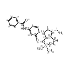 [2H]C[C@H]1S[C@@H](n2ccc(NC(=O)c3ccccc3)nc2=O)[C@H](O[Si](C)(C)C(C)(C)C)[C@@H]1O